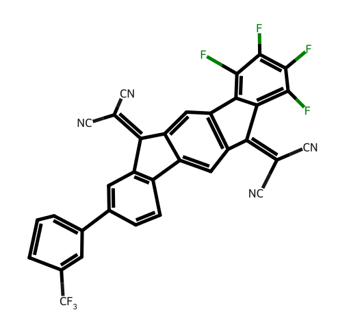 N#CC(C#N)=C1c2cc(-c3cccc(C(F)(F)F)c3)ccc2-c2cc3c(cc21)-c1c(F)c(F)c(F)c(F)c1C3=C(C#N)C#N